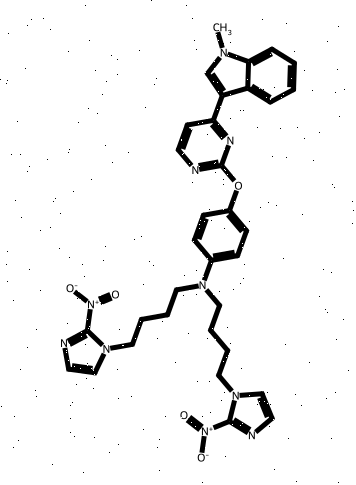 Cn1cc(-c2ccnc(Oc3ccc(N(CCCCn4ccnc4[N+](=O)[O-])CCCCn4ccnc4[N+](=O)[O-])cc3)n2)c2ccccc21